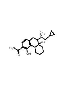 CN(CC1CC1)[C@@H]1Cc2ccc(C(N)=O)c(O)c2C2CCCC[C@]21O